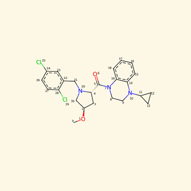 CO[C@@H]1C[C@@H](C(=O)N2CCN(C3CC3)c3ccccc32)N(Cc2cc(Cl)ccc2Cl)C1